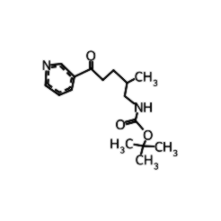 CC(CCC(=O)c1cccnc1)CNC(=O)OC(C)(C)C